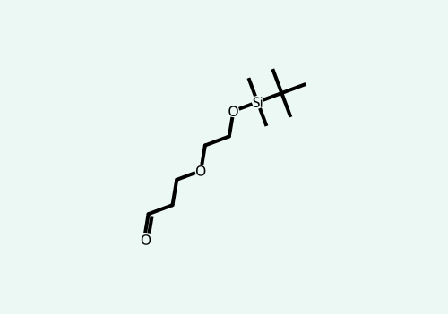 CC(C)(C)[Si](C)(C)OCCOCCC=O